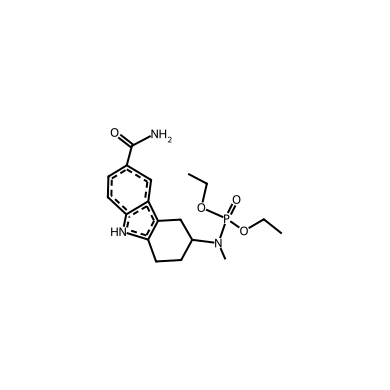 CCOP(=O)(OCC)N(C)C1CCc2[nH]c3ccc(C(N)=O)cc3c2C1